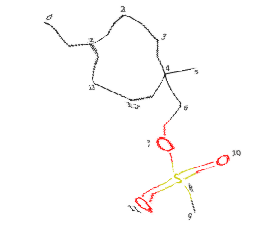 CC1CCC(C)(COS(C)(=O)=O)CC1